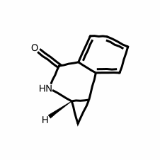 O=C1N[C@H]2CC2c2ccccc21